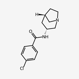 O=C(N[C@@H]1C[C@@H]2CCN(C2)C1)c1ccc(Cl)cc1